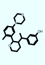 Cc1ccc(N2CCOCC2)cc1C1OCCCC1C(C)c1cccc(O)c1